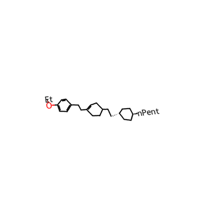 CCCCC[C@H]1CC[C@H](CCC2CC=C(CCc3ccc(OCC)cc3)CC2)CC1